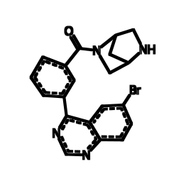 O=C(c1cccc(-c2ncnc3ccc(Br)cc23)c1)N1CC2CC1CN2